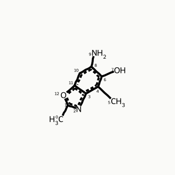 Cc1nc2c(C)c(O)c(N)cc2o1